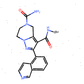 CC(C)(C)NC(=O)c1c(-c2cccc3cnccc23)nn2c1CN(C(N)=O)CC2